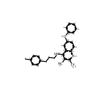 Cc1ccc(CCCNc2c(C#N)c(C(F)(F)F)nc3ccc(Oc4ccccc4)cc23)cc1